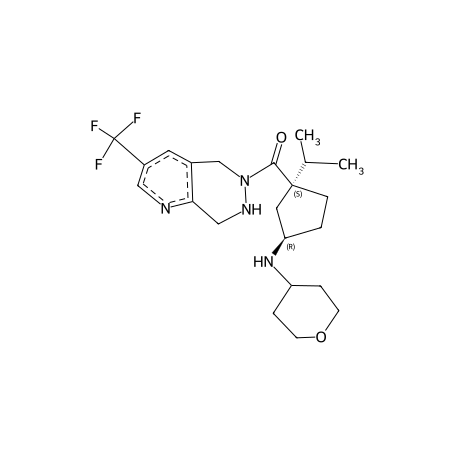 CC(C)[C@]1(C(=O)N2Cc3cc(C(F)(F)F)cnc3CN2)CC[C@@H](NC2CCOCC2)C1